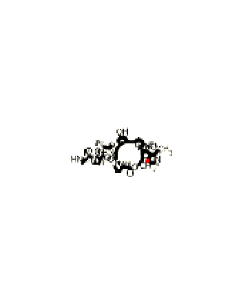 CCn1c(-c2cccnc2[C@H](C)OC)c2c3cc(ccc31)-c1cc(O)cc(c1)C[C@H](NC(=O)[C@H](C(C)C)N(C)C(=O)[C@@]1(F)CCN(C(=O)[C@H]3CN3)C1)C(=O)N1CCC[C@H](N1)C(=O)OCC(C)(C)C2